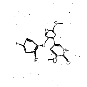 COc1cc(-c2nc(SC)ncc2Oc2ccc(F)cc2F)cn(C)c1=O